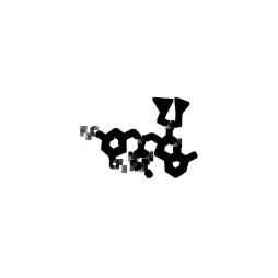 Cc1cccc2cc(CN(Cc3cc(C(F)(F)F)cc(C(F)(F)F)c3)c3nnn(C)n3)c(N(CC3CC3)CC3CC3)nc12